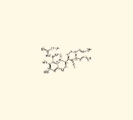 CC[C@H](NC(=O)c1c(O)c(O)cc2occ(C3=CCc4cc(O)c(O)cc4C3=O)c(=O)c12)C(=O)O